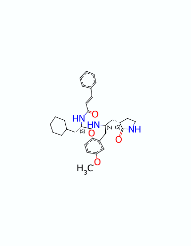 COc1cccc(C[C@H](C[C@@H]2CCNC2=O)NC(=O)[C@H](CC2CCCCC2)NC(=O)C=Cc2ccccc2)c1